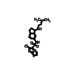 CN(C)CCNC1CCc2ccc(NS(=O)(=O)c3c(Cl)nc4sccn34)cc21